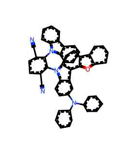 N#Cc1ccc(C#N)c(-n2c3ccc(N(c4ccccc4)c4ccccc4)cc3c3c4oc5ccccc5c4ccc32)c1-n1c2ccccc2c2ccccc21